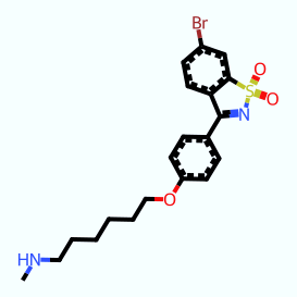 CNCCCCCCOc1ccc(C2=NS(=O)(=O)c3cc(Br)ccc32)cc1